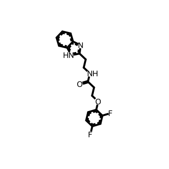 O=C(CCOc1ccc(F)cc1F)NCCc1nc2ccccc2[nH]1